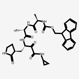 CCC[C@H](NC(=O)[C@@H](C)NC(=O)OCC1c2ccccc2-c2ccccc21)C(=O)N[C@@H](C[C@@H]1CCNC1=O)C(=O)C(=O)NC1CC1